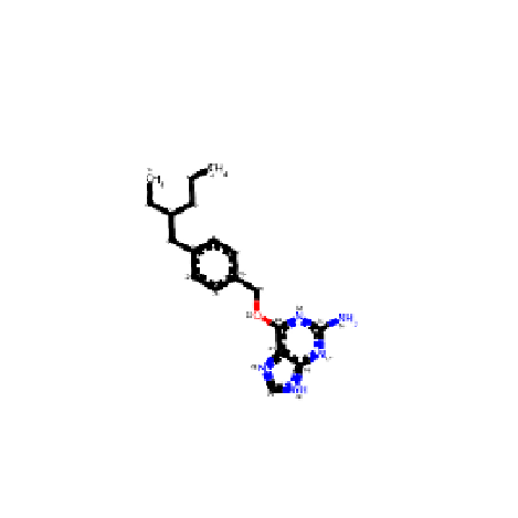 CCCC(CC)Cc1ccc(COc2nc(N)nc3[nH]cnc23)cc1